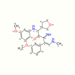 CN/C=C(\C(=N)C(=O)C(Nc1cc(OC)cc(OC)c1)C1CCOC1)c1ccccc1